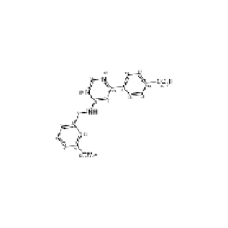 COc1cccc(CNc2cc(-c3ccc(C(=O)O)cc3)ncn2)c1